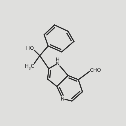 CC(O)(c1ccccc1)c1cc2nccc(C=O)c2[nH]1